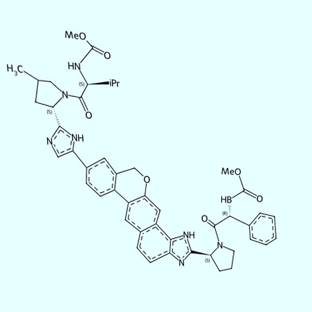 COC(=O)B[C@@H](C(=O)N1CCC[C@H]1c1nc2ccc3cc4c(cc3c2[nH]1)OCc1cc(-c2cnc([C@@H]3CC(C)CN3C(=O)[C@@H](NC(=O)OC)C(C)C)[nH]2)ccc1-4)c1ccccc1